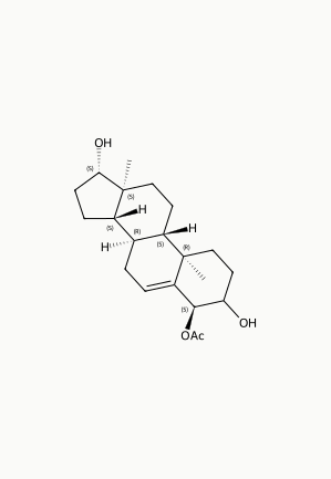 CC(=O)O[C@H]1C2=CC[C@H]3[C@@H]4CC[C@H](O)[C@@]4(C)CC[C@@H]3[C@@]2(C)CCC1O